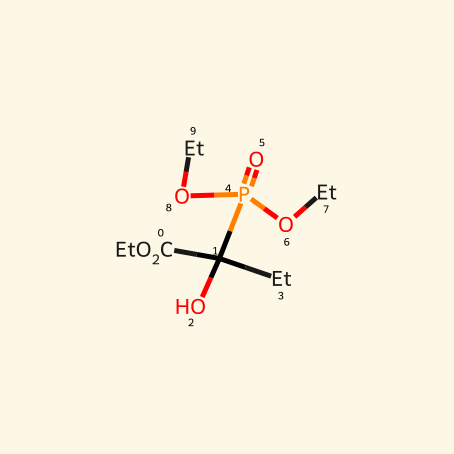 CCOC(=O)C(O)(CC)P(=O)(OCC)OCC